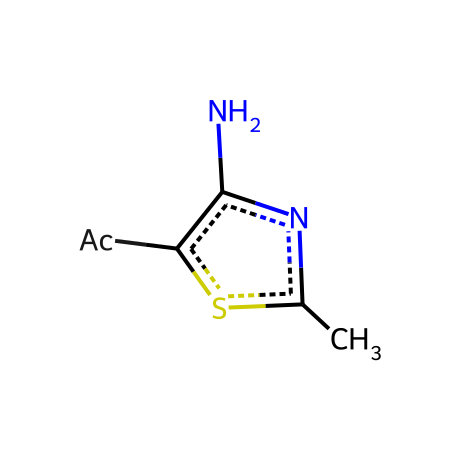 CC(=O)c1sc(C)nc1N